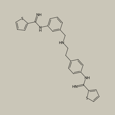 N=C(Nc1ccc(CCNCc2cccc(NC(=N)c3cccs3)c2)cc1)c1cccs1